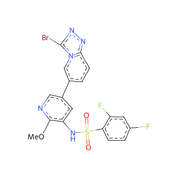 COc1ncc(-c2ccc3nnc(Br)n3c2)cc1NS(=O)(=O)c1ccc(F)cc1F